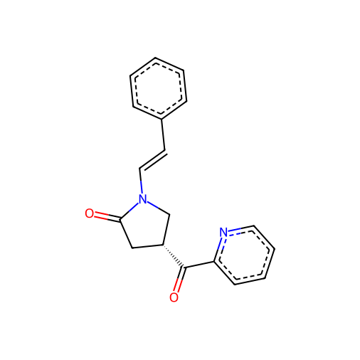 O=C(c1ccccn1)[C@@H]1CC(=O)N(C=Cc2ccccc2)C1